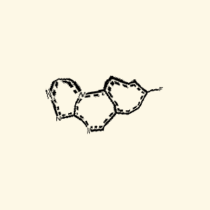 Fc1ccc2c(cnc3nncn32)c1